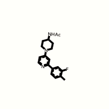 CC(=O)NC1CCN(c2ccnc(-c3ccc(C)c(F)c3)c2)CC1